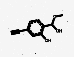 C#Cc1ccc(C(O)OC)c(O)c1